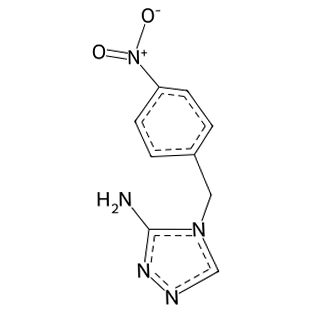 Nc1nncn1Cc1ccc([N+](=O)[O-])cc1